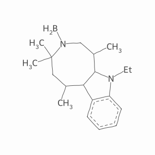 BN1CC(C)C2C(c3ccccc3N2CC)C(C)CC1(C)C